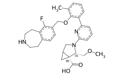 COC[C@H]1N(c2cccc(-c3cccc(C)c3OCc3ccc4c(c3F)CCNCC4)n2)CC2C[C@@]21C(=O)O